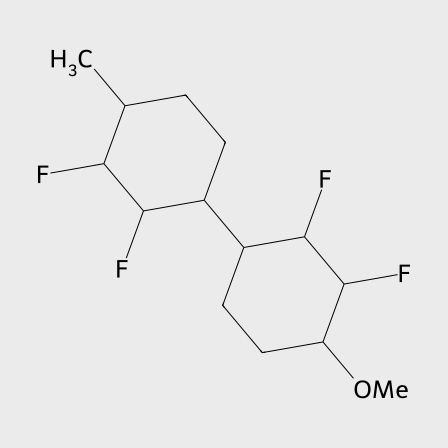 COC1CCC(C2CCC(C)C(F)C2F)C(F)C1F